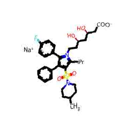 CC1CCN(S(=O)(=O)c2c(-c3ccccc3)c(-c3ccc(F)cc3)n(CC[C@@H](O)C[C@@H](O)CC(=O)[O-])c2C(C)C)CC1.[Na+]